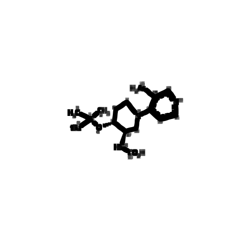 CC(C)(C)[Si](C)(C)O[C@@H]1CCN(c2ccncc2[AsH2])C[C@H]1NC(=O)O